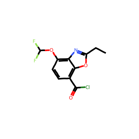 CCc1nc2c(OC(F)F)ccc(C(=O)Cl)c2o1